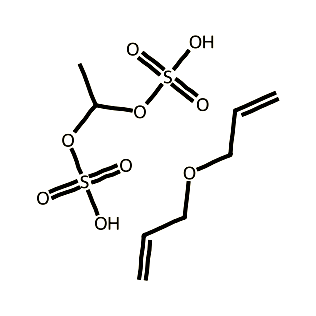 C=CCOCC=C.CC(OS(=O)(=O)O)OS(=O)(=O)O